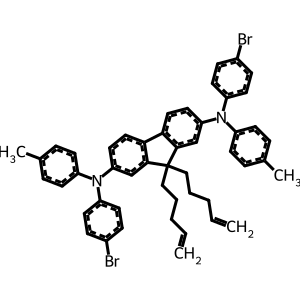 C=CCCCC1(CCCC=C)c2cc(N(c3ccc(C)cc3)c3ccc(Br)cc3)ccc2-c2ccc(N(c3ccc(C)cc3)c3ccc(Br)cc3)cc21